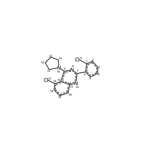 Clc1ccccc1-c1nc(N2CCCC2)c2c(Cl)cccc2n1